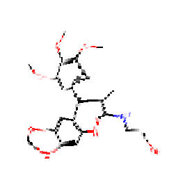 COc1cc(C2c3cc4c(cc3OC(NCCO)C2C)OCO4)cc(OC)c1OC